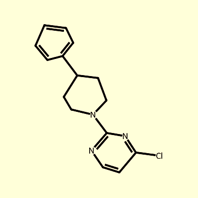 Clc1ccnc(N2CCC(c3ccccc3)CC2)n1